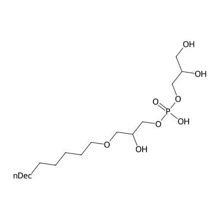 CCCCCCCCCCCCCCCOCC(O)COP(=O)(O)OCC(O)CO